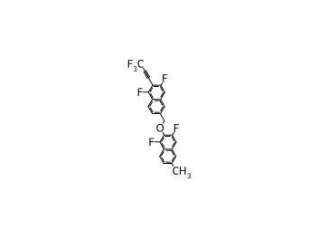 Cc1ccc2c(F)c(OCc3ccc4c(F)c(C#CC(F)(F)F)c(F)cc4c3)c(F)cc2c1